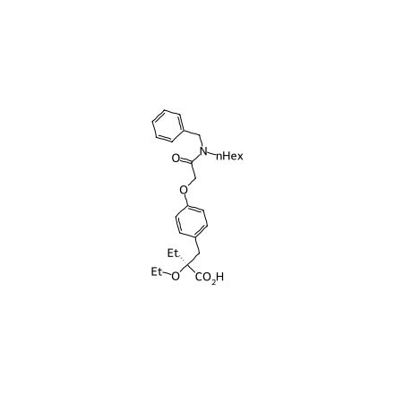 CCCCCCN(Cc1ccccc1)C(=O)COc1ccc(C[C@](CC)(OCC)C(=O)O)cc1